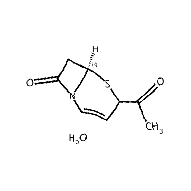 CC(=O)C1C=CN2C(=O)C[C@H]2S1.O